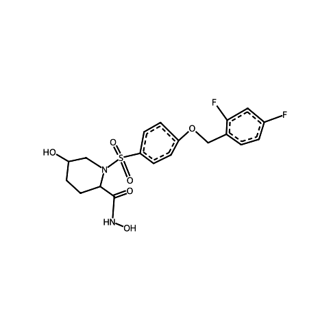 O=C(NO)C1CCC(O)CN1S(=O)(=O)c1ccc(OCc2ccc(F)cc2F)cc1